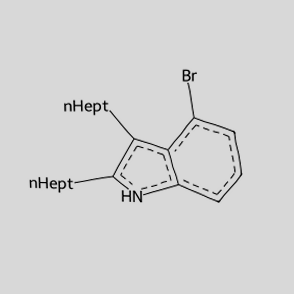 CCCCCCCc1[nH]c2cccc(Br)c2c1CCCCCCC